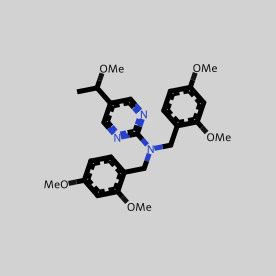 COc1ccc(CN(Cc2ccc(OC)cc2OC)c2ncc(C(C)OC)cn2)c(OC)c1